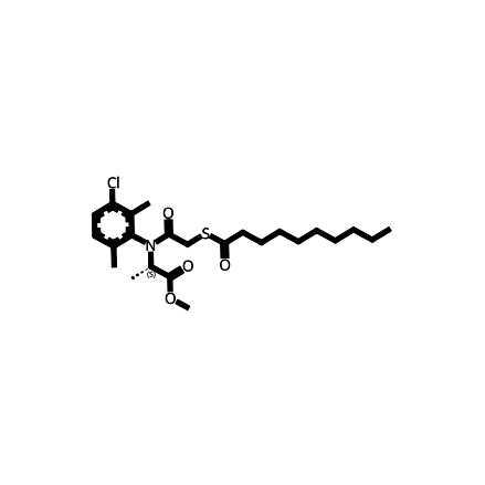 CCCCCCCCCC(=O)SCC(=O)N(c1c(C)ccc(Cl)c1C)[C@@H](C)C(=O)OC